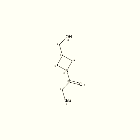 CC(C)(C)CC(=O)N1CC(CO)C1